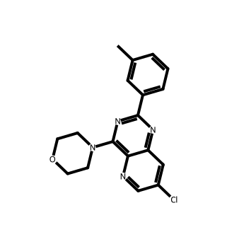 Cc1cccc(-c2nc(N3CCOCC3)c3ncc(Cl)cc3n2)c1